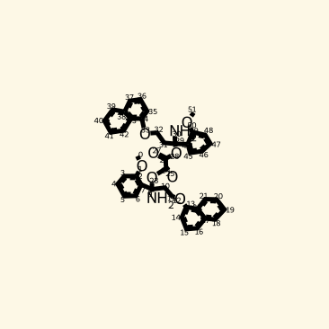 COc1ccccc1C(N)(CCOc1cccc2ccccc12)OC(=O)C(=O)OC(N)(CCOc1cccc2ccccc12)c1ccccc1OC